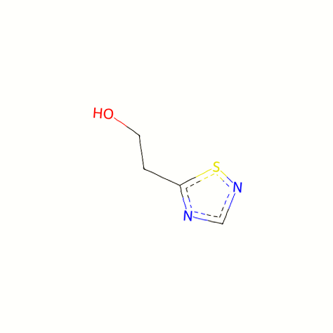 OCCc1ncns1